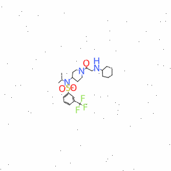 CC(C)N(C1CCN(C(=O)CNC2CCCCC2)CC1)S(=O)(=O)c1cccc(C(F)(F)F)c1